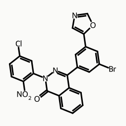 O=c1c2ccccc2c(-c2cc(Br)cc(-c3cnco3)c2)nn1-c1cc(Cl)ccc1[N+](=O)[O-]